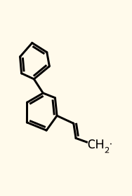 [CH2]/C=C/c1cccc(-c2ccccc2)c1